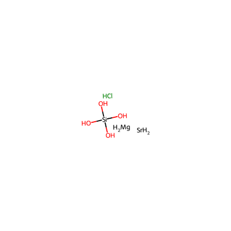 Cl.O[Si](O)(O)O.[MgH2].[SrH2]